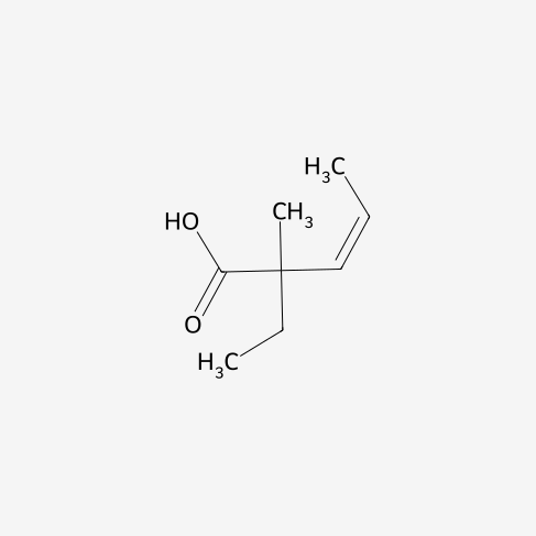 C/C=C\C(C)(CC)C(=O)O